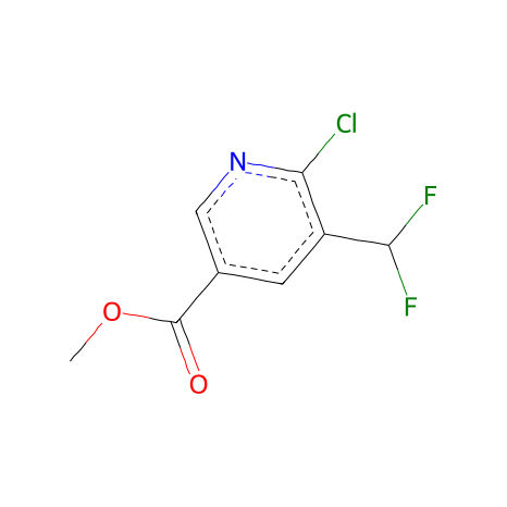 COC(=O)c1cnc(Cl)c(C(F)F)c1